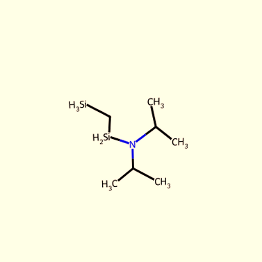 CC(C)N([SiH2]C[SiH3])C(C)C